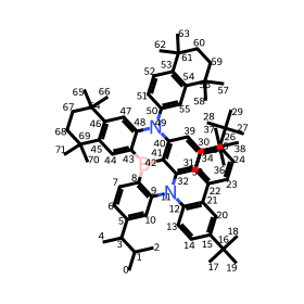 CC(C)C(C)c1ccc2c(c1)N(c1ccc(C(C)(C)C)cc1-c1ccc(C(C)(C)C)cc1)c1cc(C(C)(C)C)cc3c1B2c1cc2c(cc1N3c1ccc3c(c1)C(C)(C)CCC3(C)C)C(C)(C)CCC2(C)C